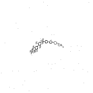 CCC1CCC(c2ccc(-c3ccc(C(F)(F)Oc4cc(F)c(-c5cc(F)c(C(F)(F)OC(F)(F)F)c(F)c5)c(F)c4)cc3)cc2)CC1